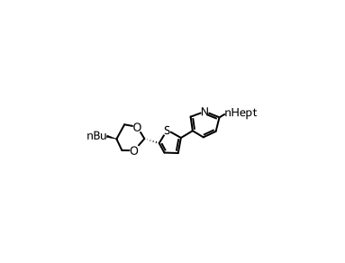 CCCCCCCc1ccc(-c2ccc([C@H]3OC[C@H](CCCC)CO3)s2)cn1